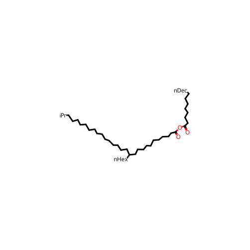 CCCCCCCCCCCCCCCCCC(=O)OC(=O)CCCCCCCCCCC(CCCCCC)CCCCCCCCCCCCCCCC(C)C